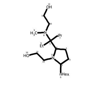 CCCCCCC1CCC(C(CC)(C(C)C)N(C)CCO)N1CCO